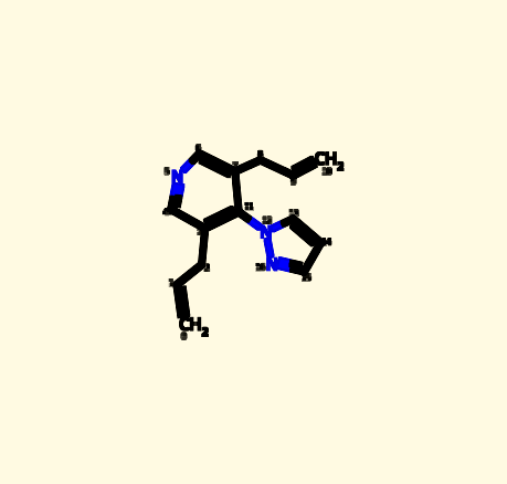 C=CCc1[c]ncc(CC=C)c1-n1cccn1